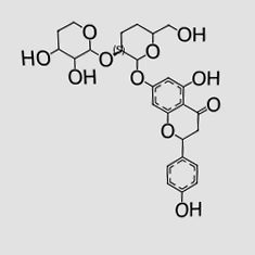 O=C1CC(c2ccc(O)cc2)Oc2cc(OC3OC(CO)CC[C@@H]3OC3OCCC(O)C3O)cc(O)c21